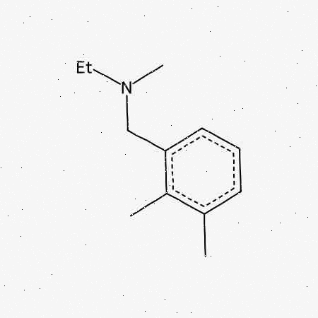 CCN(C)Cc1cccc(C)c1C